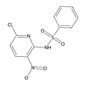 O=[N+]([O-])c1ccc(Cl)nc1NS(=O)(=O)c1ccccc1